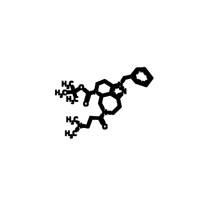 CN(C)CCC(=O)N1CCc2nn(Cc3ccccc3)c3c2C(C1)N(C(=O)OC(C)(C)C)CC3